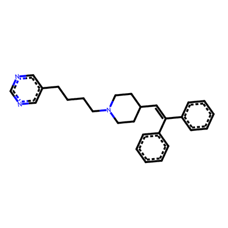 C(=C(c1ccccc1)c1ccccc1)C1CCN(CCCCc2cncnc2)CC1